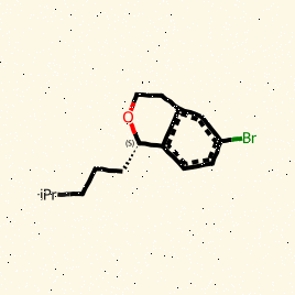 C[C](C)CCC[C@@H]1OCCc2cc(Br)ccc21